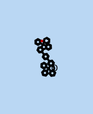 CC1(C2(c3ccccc3)c3ccccc3-c3c(-c4ccc(-c5ccc6c(c5)C(c5ccccc5)(c5ccccc5)c5ccccc5O6)cc4)cccc32)C=CC=CC1